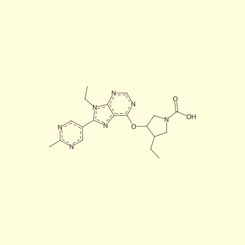 CCC1CN(C(=O)O)CC1Oc1ncnc2c1nc(-c1cnc(C)nc1)n2CC